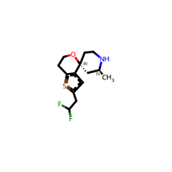 C[C@H]1C[C@@]2(CCN1)OCCc1sc(CC(F)F)cc12